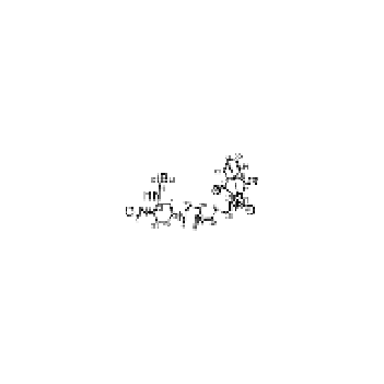 CC(C)(C)CNc1cc(N2CCN(CCCN3C4=C5C(=O)c6ccc(cc6C4=O)[N+]53[O-])CC2)ccc1[N+](=O)[O-]